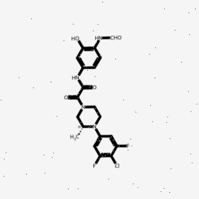 C[C@@H]1CN(C(=O)C(=O)Nc2ccc(NC=O)c(O)c2)CCN1c1cc(F)c(Cl)c(F)c1